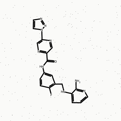 Nc1ncccc1NCc1cc(NC(=O)c2cnc(-n3ccnn3)cn2)ccc1F